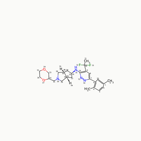 Cc1ccc(C)c(-c2cc(C(C)(F)F)c(N[C@H]3C[C@@H]4CN(CC5COCCO5)C[C@@H]4C3)nn2)c1